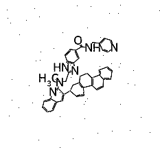 CN(Cc1nc2cc(C(=O)NCc3ccncc3)ccc2[nH]1)c1nc2ccccc2cc1C1C=CC2=C(CCc3c2ccc2ccccc32)C1